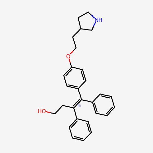 OCC/C(=C(/c1ccccc1)c1ccc(OCCC2CCNC2)cc1)c1ccccc1